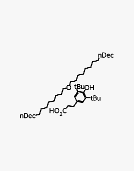 CC(C)(C)c1cc(CCC(=O)O)cc(C(C)(C)C)c1O.CCCCCCCCCCCCCCCCCCOCCCCCCCCCCCCCCCCCC